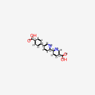 O=C(O)c1ccc(-c2ccc(-c3ccc(C(=O)O)cn3)nc2)cc1